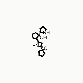 OC1([C@@H]2CC(C3CCCC3(O)[C@@H]3CCCN3)N2)CCCC1